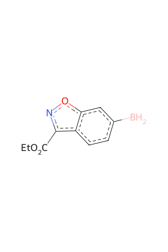 Bc1ccc2c(C(=O)OCC)noc2c1